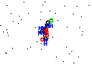 COC(=O)C(CC1CC(C)(C)NC1=O)NC(=O)C(CC1CC1)NC(=O)c1cc2ccc(Cl)c(F)c2[nH]1